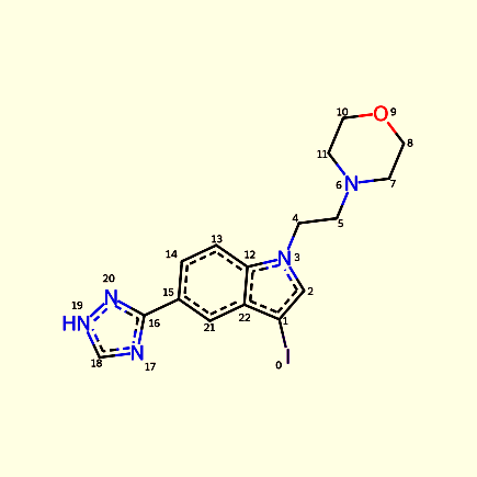 Ic1cn(CCN2CCOCC2)c2ccc(-c3nc[nH]n3)cc12